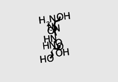 N[C@@H](CO)c1noc(CNC(=O)N[C@@H](CCO)C(=O)O)n1